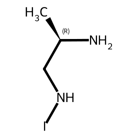 C[C@@H](N)CNI